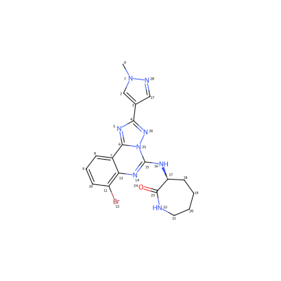 Cn1cc(-c2nc3c4cccc(Br)c4nc(N[C@H]4CCCCNC4=O)n3n2)cn1